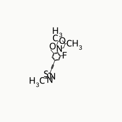 Cc1nnc(C#Cc2cc(F)c(N3CC(C)OC(C)C3)c(C=O)c2)s1